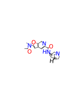 CC(=O)N(C)c1cc2cc(C(=O)N[C@@H]3C[C@H]4CCN(C4)C3)ncc2o1